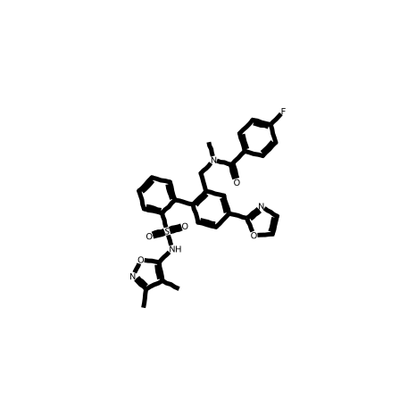 Cc1noc(NS(=O)(=O)c2ccccc2-c2ccc(-c3ncco3)cc2CN(C)C(=O)c2ccc(F)cc2)c1C